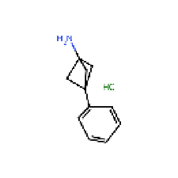 Cl.NC12CC(c3ccccc3)(C1)C2